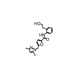 Cc1cc(C)n(Cc2ccc(C(=O)Nc3ccccc3CCO)o2)n1